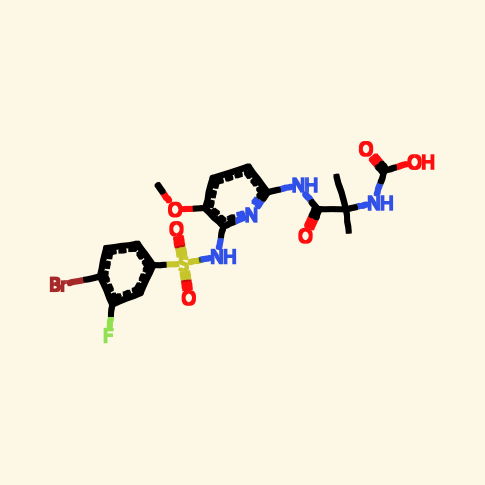 COc1ccc(NC(=O)C(C)(C)NC(=O)O)nc1NS(=O)(=O)c1ccc(Br)c(F)c1